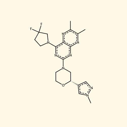 Cc1nc2nc(N3CCO[C@@H](c4cnn(C)c4)C3)nc(N3CCC(F)(F)C3)c2nc1C